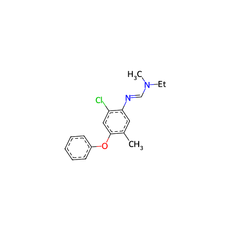 CCN(C)C=Nc1cc(C)c(Oc2ccccc2)cc1Cl